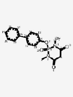 CC(C)N1C(=O)CC(=O)N(C)P1(=O)Oc1ccc(-c2ccccc2)cc1